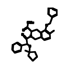 COC(=O)C1Cc2c(ccc(C)c2OCc2ccccc2)CN1C(=O)C(OC1(C)CCCC1)c1ccccc1